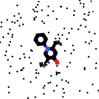 Cc1cn(-c2ccccc2)c(C)cc1=O